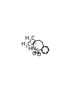 C/C1=C(\C)NS(=O)(=O)c2ccccc2CC1